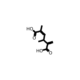 C=C(C(=O)O)C(C)C=C(C)C(=O)O